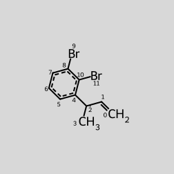 C=C[C](C)c1cccc(Br)c1Br